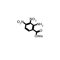 COC(=O)c1ccc([N+](=O)[O-])c([N+](=O)[O-])c1N